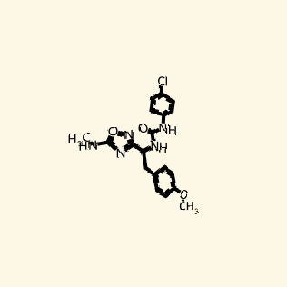 CNc1nc(C(Cc2ccc(OC)cc2)NC(=O)Nc2ccc(Cl)cc2)no1